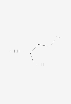 CC(=O)N[C@H](CSN=O)C(=O)O